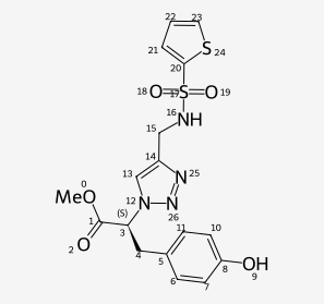 COC(=O)[C@H](Cc1ccc(O)cc1)n1cc(CNS(=O)(=O)c2cccs2)nn1